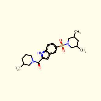 CC1CCCN(C(=O)c2cc3cc(S(=O)(=O)N4CC(C)CC(C)C4)ccc3[nH]2)C1